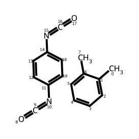 Cc1ccccc1C.O=C=Nc1ccc(N=C=O)cc1